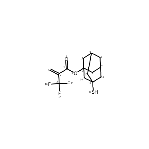 C=C(C(=O)OC12CC3CC(CC(S)(C3)C1)C2)C(F)(F)F